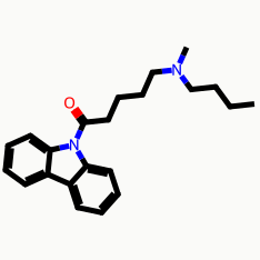 CCCCN(C)CCCCC(=O)n1c2ccccc2c2ccccc21